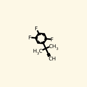 C#CC(C)(C)c1cc(F)c(F)cc1F